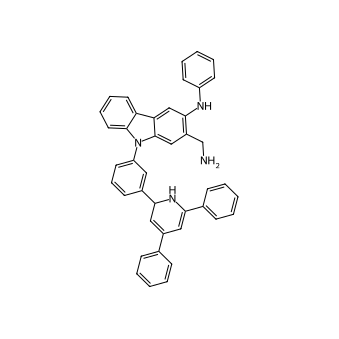 NCc1cc2c(cc1Nc1ccccc1)c1ccccc1n2-c1cccc(C2C=C(c3ccccc3)C=C(c3ccccc3)N2)c1